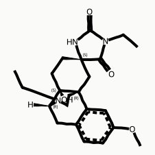 CCN1C(=O)N[C@]2(CC[C@@]3(O)[C@H]4Cc5ccc(OC)cc5[C@@]3(CCN4CC)C2)C1=O